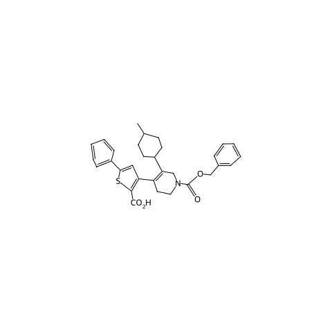 CC1CCC(C2=C(c3cc(-c4ccccc4)sc3C(=O)O)CCN(C(=O)OCc3ccccc3)C2)CC1